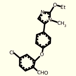 CCOc1ncc(-c2ccc(Oc3cc(Cl)ccc3C=O)cc2)n1C